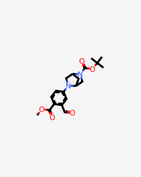 COC(=O)c1ccc(N2CC3CC2CN3C(=O)OC(C)(C)C)cc1C=O